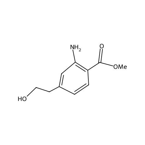 COC(=O)c1ccc(CCO)cc1N